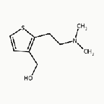 CN(C)CCc1sccc1CO